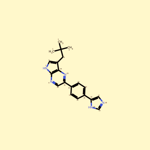 CC(C)(C)Cc1c[nH]c2ncc(-c3ccc(-c4cnc[nH]4)cc3)nc12